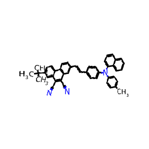 Cc1ccc(N(c2ccc(C=Cc3ccc4c(c3)c(C#N)c(C#N)c3cc(C(C)(C)C)ccc34)cc2)c2cccc3ccccc23)cc1